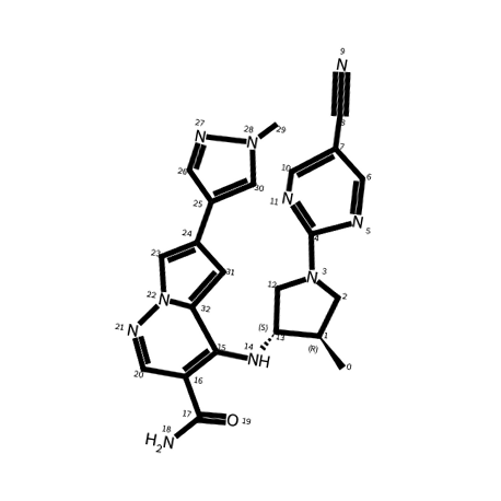 C[C@@H]1CN(c2ncc(C#N)cn2)C[C@H]1Nc1c(C(N)=O)cnn2cc(-c3cnn(C)c3)cc12